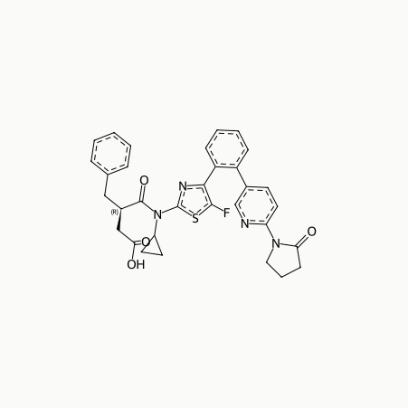 O=C(O)C[C@@H](Cc1ccccc1)C(=O)N(c1nc(-c2ccccc2-c2ccc(N3CCCC3=O)nc2)c(F)s1)C1CC1